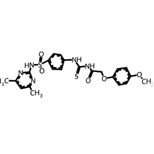 COc1ccc(OCC(=O)NC(=S)Nc2ccc(S(=O)(=O)Nc3nc(C)cc(C)n3)cc2)cc1